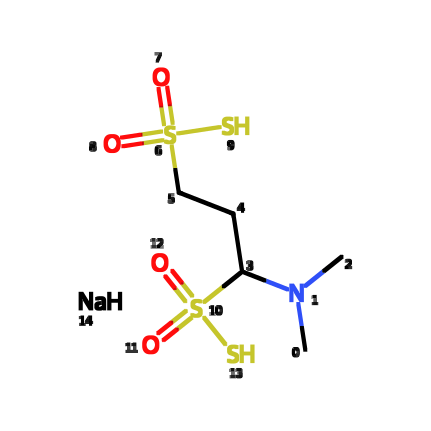 CN(C)C(CCS(=O)(=O)S)S(=O)(=O)S.[NaH]